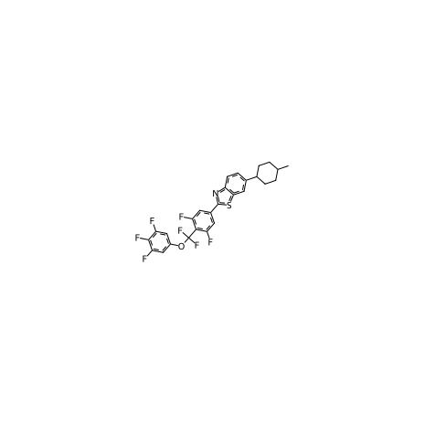 CC1CCC(c2ccc3nc(-c4cc(F)c(C(F)(F)Oc5cc(F)c(F)c(F)c5)c(F)c4)sc3c2)CC1